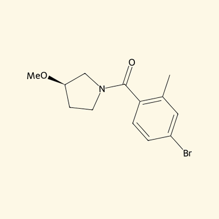 CO[C@@H]1CCN(C(=O)c2ccc(Br)cc2C)C1